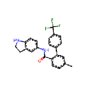 Cc1ccc(C(=O)Nc2ccc3c(c2)CCN3)c(-c2ccc(C(F)(F)F)cc2)c1